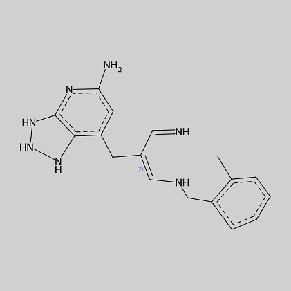 Cc1ccccc1CN/C=C(\C=N)Cc1cc(N)nc2c1NNN2